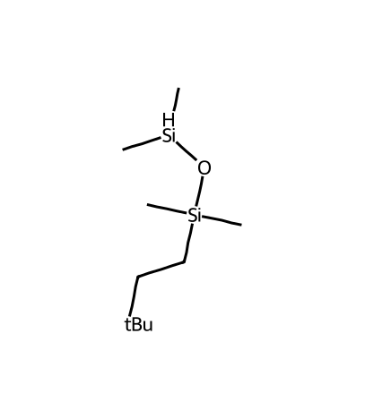 C[SiH](C)O[Si](C)(C)CCC(C)(C)C